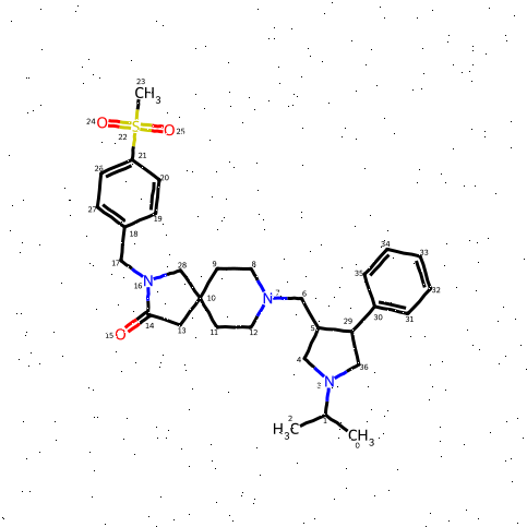 CC(C)N1CC(CN2CCC3(CC2)CC(=O)N(Cc2ccc(S(C)(=O)=O)cc2)C3)C(c2ccccc2)C1